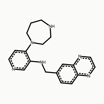 c1cc(N2CCCNCC2)c(NCc2ccc3nccnc3c2)cn1